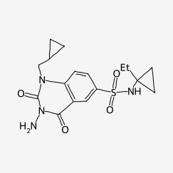 CCC1(NS(=O)(=O)c2ccc3c(c2)c(=O)n(N)c(=O)n3CC2CC2)CC1